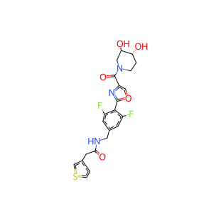 O=C(Cc1ccsc1)NCc1cc(F)c(-c2nc(C(=O)N3CC[C@@H](O)[C@H](O)C3)co2)c(F)c1